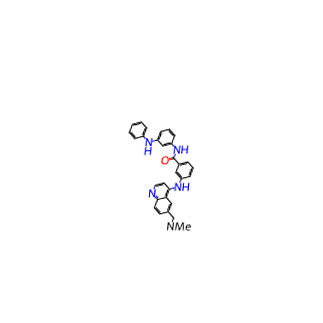 CNCc1ccc2nccc(Nc3cccc(C(=O)Nc4cccc(Nc5ccccc5)c4)c3)c2c1